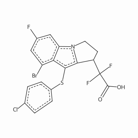 O=C(O)C(F)(F)C1CCn2c1c(Sc1ccc(Cl)cc1)c1c(Br)cc(F)cc12